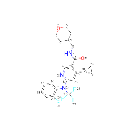 O=C(NCC1CCOCC1)c1cnc(N(c2ccccc2F)C(F)(F)F)cc1C1CC1